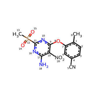 Cc1ccc(C#N)cc1Oc1nc(S(C)(=O)=O)nc(N)c1[N+](=O)[O-]